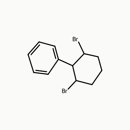 BrC1CCCC(Br)C1c1ccccc1